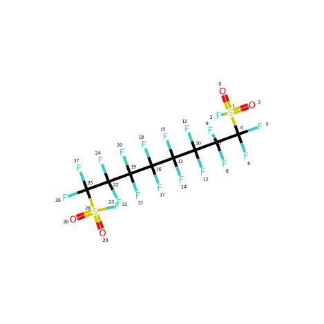 O=S(=O)(F)C(F)(F)C(F)(F)C(F)(F)C(F)(F)C(F)(F)C(F)(F)C(F)(F)C(F)(F)S(=O)(=O)F